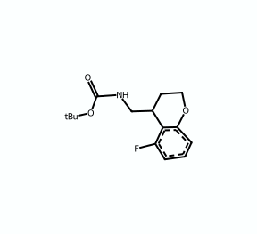 CC(C)(C)OC(=O)NCC1CCOc2cccc(F)c21